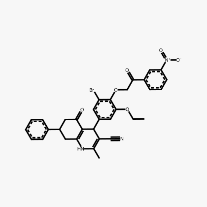 CCOc1cc(C2C(C#N)=C(C)NC3=C2C(=O)CC(c2ccccc2)C3)cc(Br)c1OCC(=O)c1cccc([N+](=O)[O-])c1